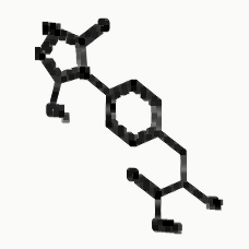 COC(=O)C(Cc1ccc(-n2c(C)n[nH]c2=O)cc1)C(C)C